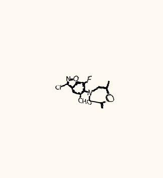 CC1CN(c2c(C=O)cc3c(Cl)noc3c2F)CC(C)O1